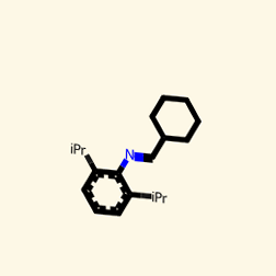 CC(C)c1cccc(C(C)C)c1N=CC1CCCCC1